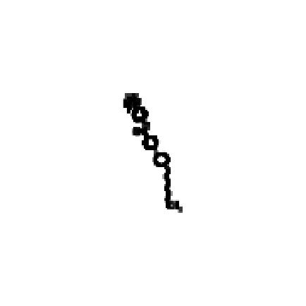 CCCCCCC[C@H]1CC[C@H](c2ccc(C(=O)Oc3ccc(S(F)(F)(F)(F)F)cc3)cc2)CC1